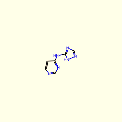 c1cc(Nc2ncn[nH]2)ncn1